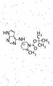 C[C@H]1CC[C@H](Nc2ncnc3[nH]ccc23)CN1C(=O)OC(C)(C)C